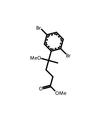 COC(=O)CCC(C)(OC)c1cc(Br)ccc1Br